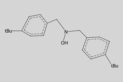 CC(C)(C)c1ccc(CN(O)Cc2ccc(C(C)(C)C)cc2)cc1